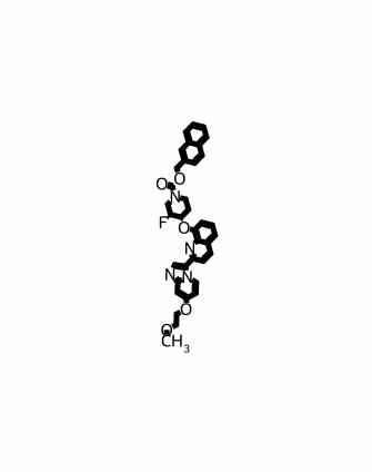 COCCOc1ccn2c(-c3ccc4cccc(O[C@H]5CCN(C(=O)OCc6ccc7ccccc7c6)C[C@@H]5F)c4n3)cnc2c1